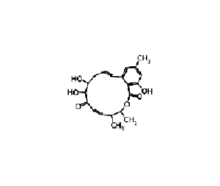 Cc1cc(O)c2c(c1)/C=C/CC(O)C(O)C(=O)/C=C\C(C)C(C)OC2=O